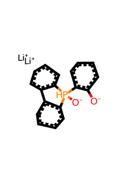 [Li+].[Li+].[O-]c1ccccc1[PH]1([O-])c2ccccc2-c2ccccc21